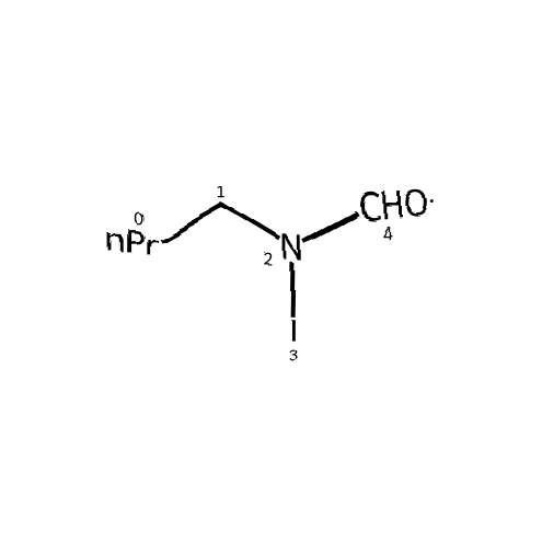 CCCCN(I)[C]=O